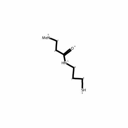 CNCCC(=O)NCCCS